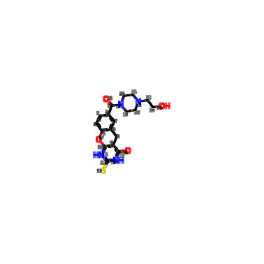 O=C(c1ccc2c(c1)Cc1c([nH]c(=S)[nH]c1=O)O2)N1CCN(CCO)CC1